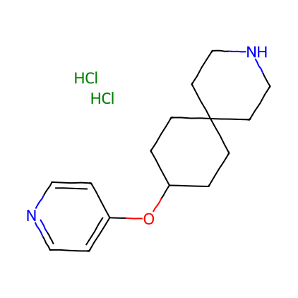 Cl.Cl.c1cc(OC2CCC3(CCNCC3)CC2)ccn1